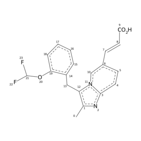 Cc1nc2ccc(C=CC(=O)O)cn2c1Cc1ccccc1OC(F)F